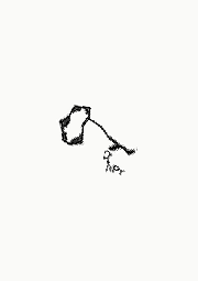 [CH2]C(Cc1ccccc1)OCCC